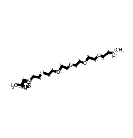 CNCCOCCOCCOCCOCCOCCn1cc(C)nn1